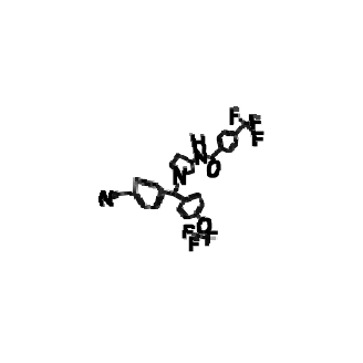 N#Cc1ccc(C(c2ccc(OC(F)(F)F)cc2)N2CC[C@@H](NC(=O)c3ccc(C(F)(F)F)cc3)C2)cc1